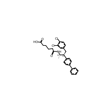 C[C@H](NC(=O)CCCCC(=O)O)[C@@H](Cc1ccc(Cl)c(Cl)c1)c1ccc(-c2ccccc2)cc1